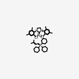 CC(C)=CC=P(C1CCCCC1)(C1CCCCC1)C1CCCCC1.Cc1cc(C)c(N2CCN(c3c(C)cc(C)cc3C)[C]2=[Ru]([Cl])[Cl])c(C)c1